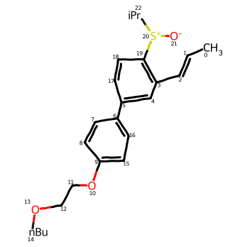 C/C=C/c1cc(-c2ccc(OCCOCCCC)cc2)ccc1[S+]([O-])C(C)C